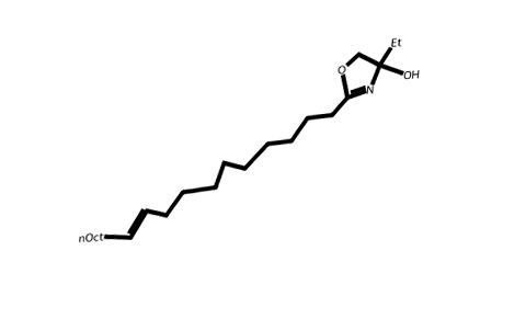 CCCCCCCCC=CCCCCCCCCCC1=NC(O)(CC)CO1